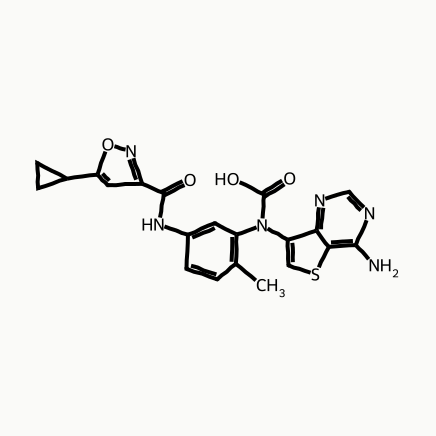 Cc1ccc(NC(=O)c2cc(C3CC3)on2)cc1N(C(=O)O)c1csc2c(N)ncnc12